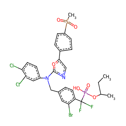 CCC(C)OP(=O)(O)C(F)(F)c1ccc(CN(c2ccc(Cl)c(Cl)c2)c2ncc(-c3ccc(S(C)(=O)=O)cc3)o2)cc1Br